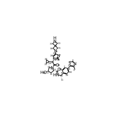 Cc1ncsc1-c1ccc([C@H](C)NC(=O)[C@@H]2C[C@@H](O)CN2C(=O)C(C2CC2)n2cc(N3CC4(CNC4)C3)nn2)cc1